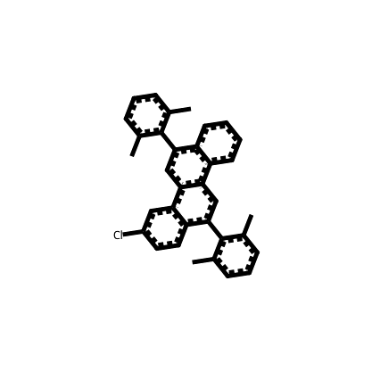 Cc1cccc(C)c1-c1cc2c3cc(Cl)ccc3c(-c3c(C)cccc3C)cc2c2ccccc12